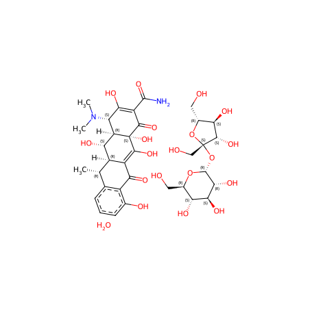 C[C@H]1c2cccc(O)c2C(=O)C2=C(O)[C@]3(O)C(=O)C(C(N)=O)=C(O)[C@@H](N(C)C)[C@@H]3[C@@H](O)[C@@H]21.O.OC[C@H]1O[C@@](CO)(O[C@H]2O[C@H](CO)[C@@H](O)[C@H](O)[C@H]2O)[C@@H](O)[C@@H]1O